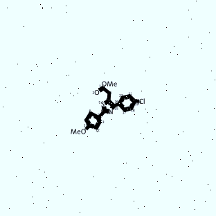 COC(=O)Cc1sc(-c2ccc(OC)cc2)nc1-c1ccc(Cl)cc1